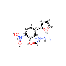 NNC=O.O=[N+]([O-])c1ccc(-c2ccco2)cc1